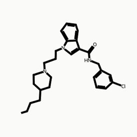 CCCCC1CCN(CCCn2cc(C(=O)NCc3cccc(Cl)c3)c3ccccc32)CC1